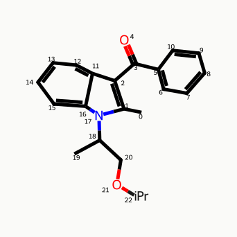 Cc1c(C(=O)c2ccccc2)c2ccccc2n1C(C)COC(C)C